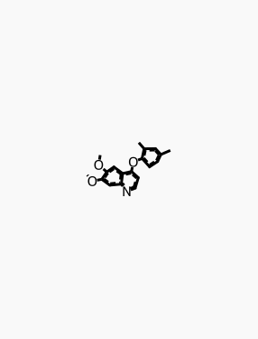 COc1cc2nccc(Oc3ccc(C)cc3C)c2cc1OC